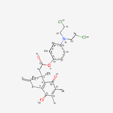 C=CCC1=C(C(CC)(CC)CC(=O)Oc2ccc(N(CCCl)CCCl)cc2)C(=O)C(C)=C(C)C1=O